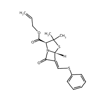 C=CCOC(=O)[C@@H]1N2C(=O)/C(=C/Sc3ccccc3)[C@H]2SC1(C)C